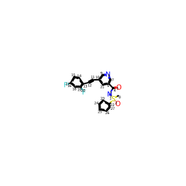 CS(=O)(=NC(=O)c1cncc(C#Cc2ccc(F)cc2F)c1)c1ccccc1